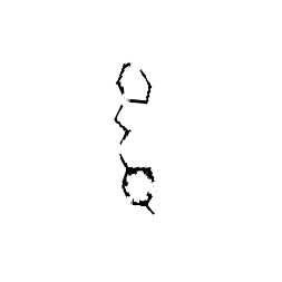 Clc1ncc(OCCN2CCOCC2)cn1